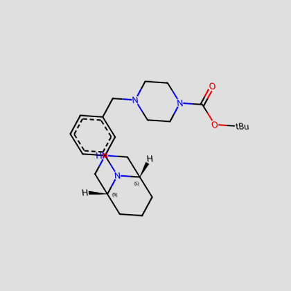 CC(C)(C)OC(=O)N1CCN(Cc2cccc(N3[C@@H]4CCC[C@H]3CNC4)c2)CC1